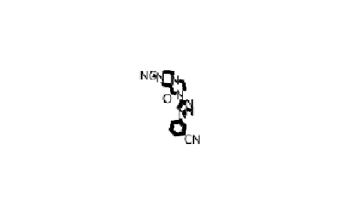 N#Cc1cccc(-n2cc(N3CCN4CCN(C#N)CC4C3=O)nn2)c1